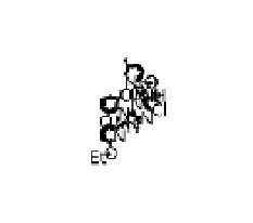 CCOc1cccc(-c2nc3nc(Cl)c(NS(=O)(=O)c4ccc(C)cn4)nc3n2-c2c(OC)cccc2OC)n1